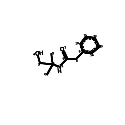 CC(C)(CO)NC(=O)Cc1ccccc1